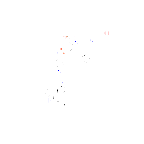 O=C(O)c1c(-c2cccc(N3CCN(c4ccc(NS(=O)(=O)c5ccc(N[C@H](CCN6CCC(O)CC6)CSc6ccccc6)c(S(=O)(=O)C(F)(F)F)c5)cc4)CC3)c2)c(-c2ccc(Cl)cc2)n2c1CCCC2